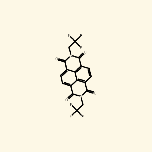 O=C1c2ccc3c4c(ccc(c24)C(=O)N1CC(F)(F)F)C(=O)N(CC(F)(F)F)C3=O